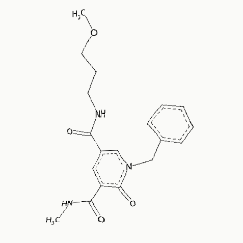 CNC(=O)c1cc(C(=O)NCCCOC)cn(Cc2ccccc2)c1=O